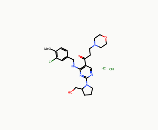 COc1ccc(CNc2nc(N3CCCC3CO)ncc2C(=O)CCN2CCOCC2)cc1Cl.Cl.Cl